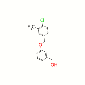 OCc1cccc(OCc2ccc(Cl)c(C(F)(F)F)c2)c1